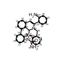 NC(=O)NS(=O)(=O)C1c2c(cccc2-c2ccccc2)C=C(c2ccccc2N)N1Cc1ccccn1